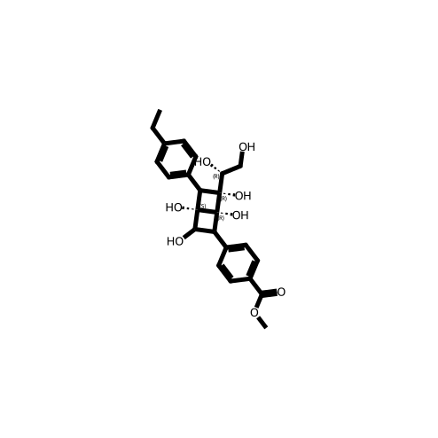 CCc1ccc(C2[C@]3(O)C(O)C(c4ccc(C(=O)OC)cc4)[C@]3(O)[C@]2(O)[C@H](O)CO)cc1